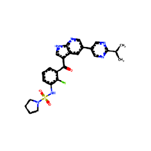 CC(C)c1ncc(-c2cnc3[nH]cc(C(=O)c4cccc(NS(=O)(=O)N5CCCC5)c4F)c3c2)cn1